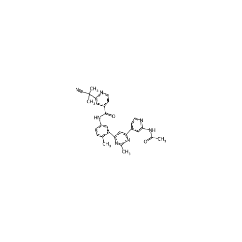 CC(=O)Nc1cc(-c2cc(-c3cc(NC(=O)c4ccnc(C(C)(C)C#N)c4)ccc3C)nc(C)n2)ccn1